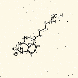 NC1=NS(=O)(=O)Nc2cccc(OCCCCNS(=O)(=O)O)c21